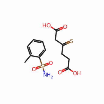 Cc1ccccc1S(N)(=O)=O.O=C(O)CCC(=S)CC(=O)O